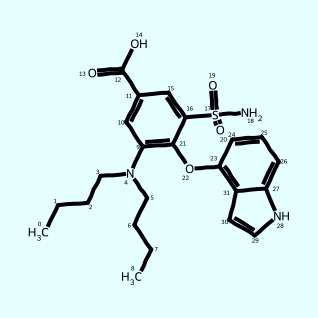 CCCCN(CCCC)c1cc(C(=O)O)cc(S(N)(=O)=O)c1Oc1cccc2[nH]ccc12